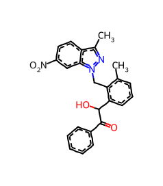 Cc1cccc(C(O)C(=O)c2ccccc2)c1Cn1nc(C)c2ccc([N+](=O)[O-])cc21